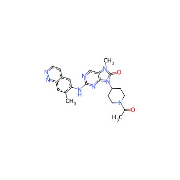 CC(=O)N1CCC(n2c(=O)n(C)c3cnc(Nc4cc5ccnnc5cc4C)nc32)CC1